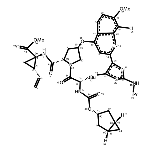 C=C[C@@H]1C[C@]1(NC(=O)[C@@H]1C[C@@H](Oc2cc(-c3nc(NC(C)C)sc3C)nc3c(Cl)c(OC)ccc23)CN1C(=O)[C@@H](NC(=O)O[C@@H]1C[C@@H]2C[C@@H]2C1)C(C)(C)C)C(=O)OC